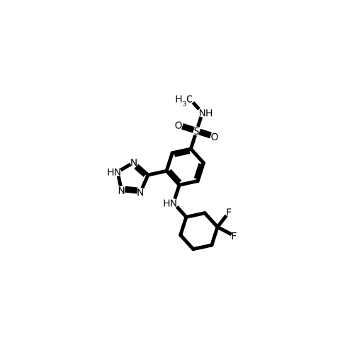 CNS(=O)(=O)c1ccc(NC2CCCC(F)(F)C2)c(-c2nn[nH]n2)c1